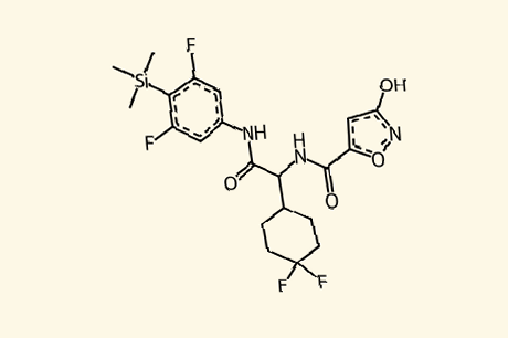 C[Si](C)(C)c1c(F)cc(NC(=O)C(NC(=O)c2cc(O)no2)C2CCC(F)(F)CC2)cc1F